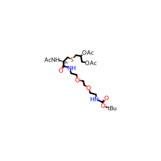 CC(=O)N[C@@H](CSCC(COC(C)=O)OC(C)=O)C(=O)NCCOCCOCCNC(=O)OC(C)(C)C